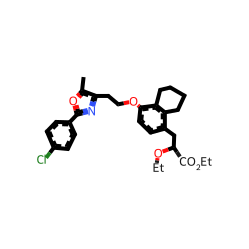 CCOC(=O)C(Cc1ccc(OCCc2nc(-c3ccc(Cl)cc3)oc2C)c2c1CCCC2)OCC